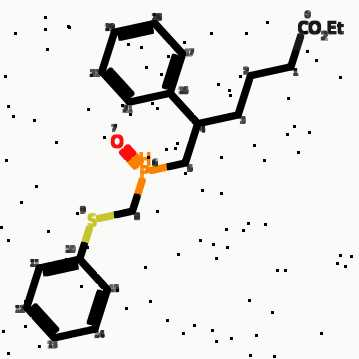 CCOC(=O)CCCC(C[PH](=O)CSc1ccccc1)c1ccccc1